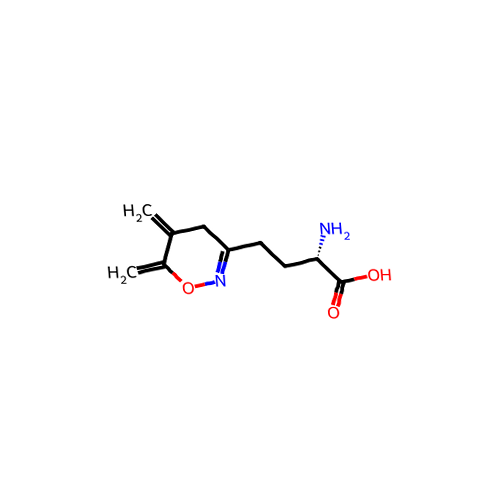 C=C1CC(CC[C@H](N)C(=O)O)=NOC1=C